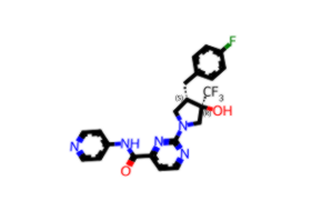 O=C(Nc1ccncc1)c1ccnc(N2C[C@H](Cc3ccc(F)cc3)[C@](O)(C(F)(F)F)C2)n1